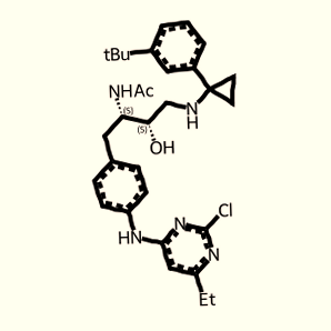 CCc1cc(Nc2ccc(C[C@H](NC(C)=O)[C@@H](O)CNC3(c4cccc(C(C)(C)C)c4)CC3)cc2)nc(Cl)n1